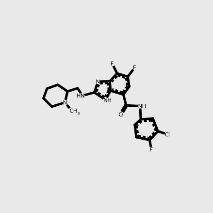 CN1CCCCC1CNc1nc2c(F)c(F)cc(C(=O)Nc3ccc(F)c(Cl)c3)c2[nH]1